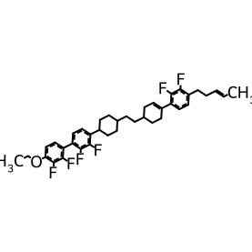 C/C=C/CCc1ccc(C2=CCC(CCC3CCC(c4ccc(-c5ccc(OCC)c(F)c5F)c(F)c4F)CC3)CC2)c(F)c1F